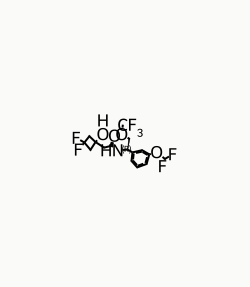 O=C(CC1(O)CC(F)(F)C1)N[C@@H](COC(F)(F)F)c1cccc(OC(F)F)c1